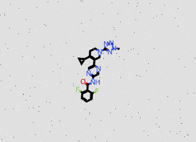 Cn1nnc(N2CCC(C3CC3)=C(c3cnc(NC(=O)c4c(F)cccc4F)cn3)C2)n1